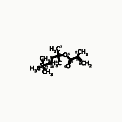 C=C(C)C(=O)OC(C)(C)CC[Si](C)(C)C